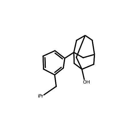 CC(C)Cc1cccc(C23CC4CC(CC(O)(C4)C2)C3)c1